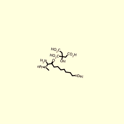 CCCCCCCCCCCCCCCCCC(=O)C(N)N(C)CCC.O=C(O)CC(O)(CC(=O)O)C(=O)O